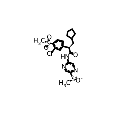 C[S+]([O-])c1cnc(NC(=O)[C@H](CC2CCCC2)c2ccc(S(C)(=O)=O)c(Cl)c2)cn1